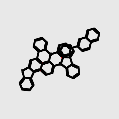 c1ccc(N(c2ccc(-c3ccc4ccccc4c3)cc2)c2ccccc2-n2c3ccccc3c3ccccc32)c(-c2ccc3c(c2)sc2ccccc23)c1